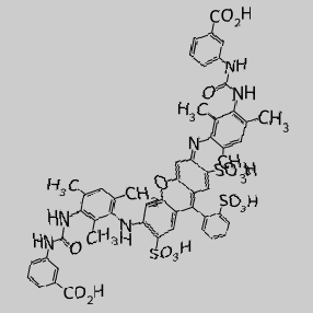 Cc1cc(C)c(NC(=O)Nc2cccc(C(=O)O)c2)c(C)c1/N=c1/cc2oc3cc(Nc4c(C)cc(C)c(NC(=O)Nc5cccc(C(=O)O)c5)c4C)c(S(=O)(=O)O)cc3c(-c3ccccc3S(=O)(=O)O)c-2cc1S(=O)(=O)O